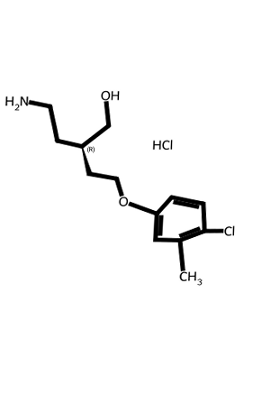 Cc1cc(OCC[C@H](CO)CCN)ccc1Cl.Cl